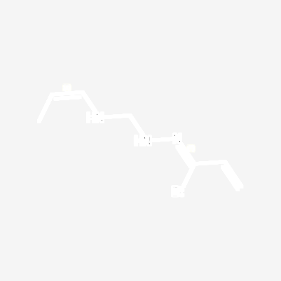 C=C/C(CC)=N/NCN/C=C\C